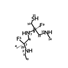 CCN[C@@](C)(F)CN[C@@](F)(CS)CNC